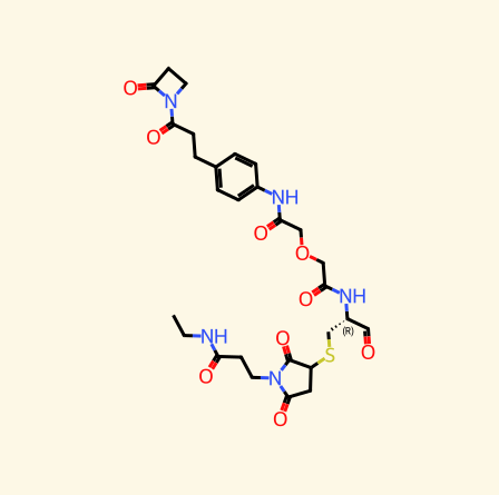 CCNC(=O)CCN1C(=O)CC(SC[C@@H](C=O)NC(=O)COCC(=O)Nc2ccc(CCC(=O)N3CCC3=O)cc2)C1=O